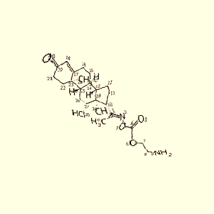 C/C(=N\OC(=O)OCCN)[C@H]1CC[C@H]2[C@@H]3CCC4=CC(=O)CC[C@]4(C)[C@H]3CC[C@]12C.Cl